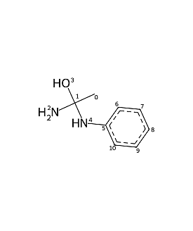 CC(N)(O)Nc1ccccc1